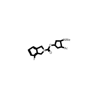 CNC1CC(OC(=O)N2Cc3cccc(F)c3C2)CC1C(C)=O